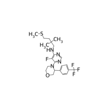 CSCCC(C)(C)CNc1ncnc(N2CCOCC2c2ccc(C(F)(F)F)cc2)c1F